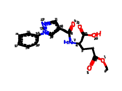 COC(=O)CCC(NC(=O)c1cnn(-c2ccccc2)c1)C(=O)O